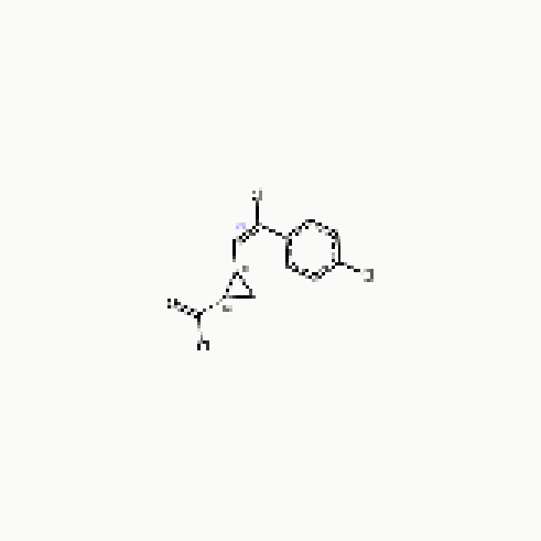 O=C(Cl)[C@H]1C[C@@H]1/C=C(/Cl)c1ccc(Cl)cc1